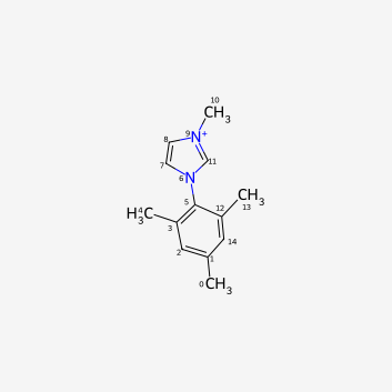 Cc1cc(C)c(-n2cc[n+](C)c2)c(C)c1